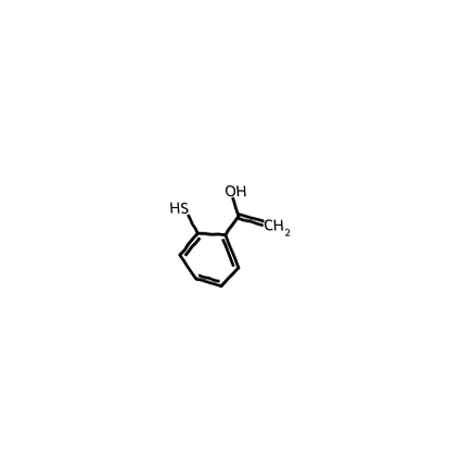 C=C(O)c1ccccc1S